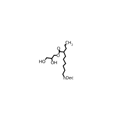 C=CCC(CCCCCCCCCCCCCCCC)C(=O)OCC(O)CO